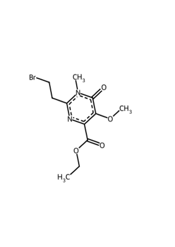 CCOC(=O)c1nc(CCBr)n(C)c(=O)c1OC